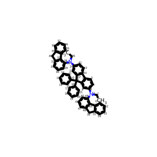 CCN(c1ccc2c(c1)C(c1ccccc1)(c1ccccc1)c1cc(N(CC)c3cccc4c3-c3ccccc3C4)ccc1-2)c1cccc2c1-c1ccccc1C2